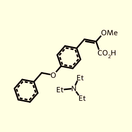 CCN(CC)CC.COC(=Cc1ccc(OCc2ccccc2)cc1)C(=O)O